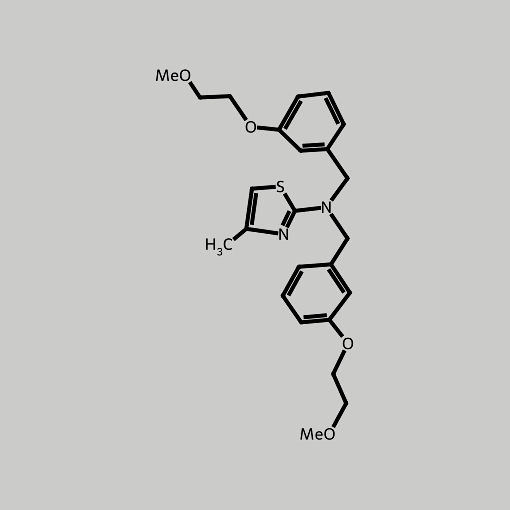 COCCOc1cccc(CN(Cc2cccc(OCCOC)c2)c2nc(C)cs2)c1